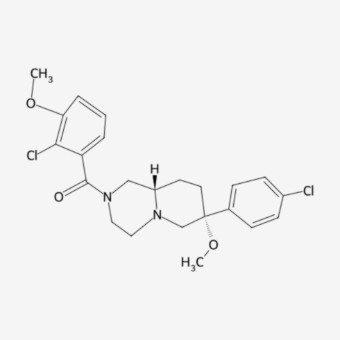 COc1cccc(C(=O)N2CCN3C[C@](OC)(c4ccc(Cl)cc4)CC[C@H]3C2)c1Cl